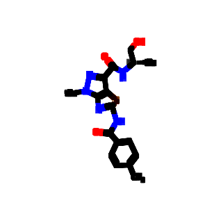 Cc1ccc(C(=O)Nc2nc3c(s2)c(C(=O)N[C@H](CO)C(C)(C)C)nn3C(C)(C)C)cc1